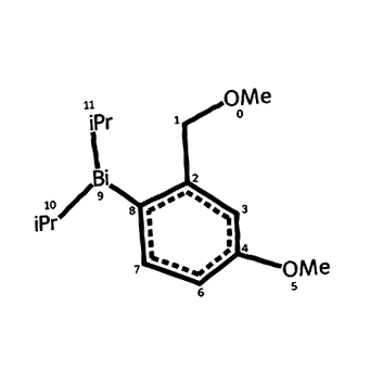 COCc1cc(OC)cc[c]1[Bi]([CH](C)C)[CH](C)C